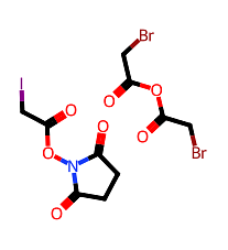 O=C(CBr)OC(=O)CBr.O=C(CI)ON1C(=O)CCC1=O